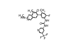 CNc1cc2c(cn1)cc(-c1cc(NC(=O)Nc3cncc(C(F)(F)F)c3)c(F)cc1C)c(=O)n2C